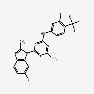 Cc1nc2ccc(Cl)cc2n1-c1nc(N)cc(Nc2ccc(C(F)(F)F)c(F)c2)n1